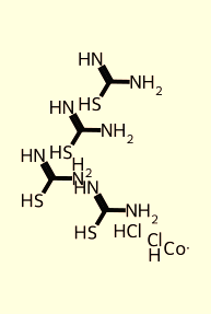 Cl.Cl.N=C(N)S.N=C(N)S.N=C(N)S.N=C(N)S.[Co]